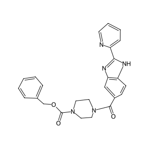 O=C(OCc1ccccc1)N1CCN(C(=O)c2ccc3[nH]c(-c4ccccn4)nc3c2)CC1